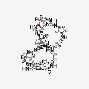 CP(C)(=O)c1c2ccc3c(c[nH]c13)-c1nc(ncc1C(F)(F)F)N[C@H]1CC(CP(C)(=O)c3c4ccc5c(c[nH]c35)-c3nc(ncc3C(F)(F)F)N[C@H]3CC[C@@H](C3)NCC(F)CCNC4=O)[C@@H](C1)NCCCONC2=O